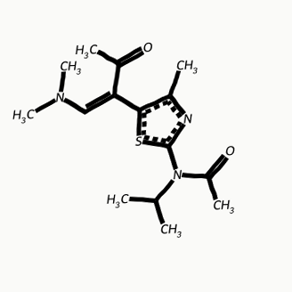 CC(=O)C(=CN(C)C)c1sc(N(C(C)=O)C(C)C)nc1C